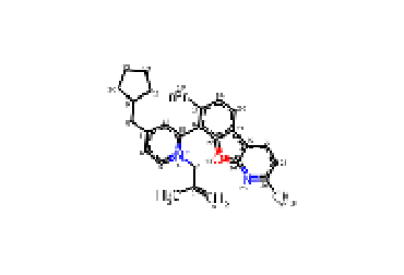 C=C(C)C[n+]1ccc(CC2CCCC2)cc1-c1c(CCC)ccc2c1oc1nc(C)ccc12